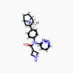 O=C(C1CNC1)N(c1ccc(C2CC3CCC(C2)N3C(=O)O)cc1)c1cccnn1